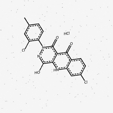 Cc1ccc(-n2nc(O)c3[nH]c4cc(Cl)ccc4c(=O)c3c2=O)c(Cl)c1.Cl